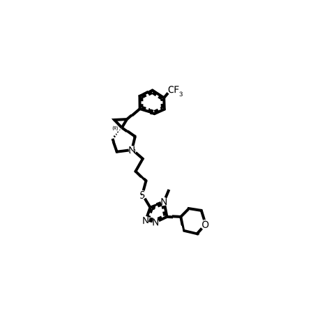 Cn1c(SCCCN2CC[C@@]3(CC3c3ccc(C(F)(F)F)cc3)C2)nnc1C1CCOCC1